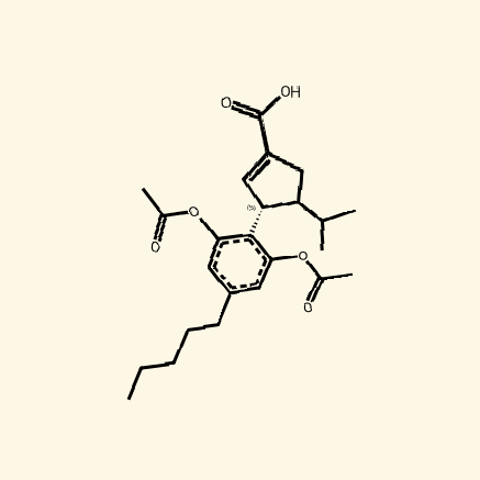 CCCCCc1cc(OC(C)=O)c([C@@H]2C=C(C(=O)O)CC2C(C)C)c(OC(C)=O)c1